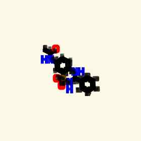 CC(=O)Nc1ccc2c(c1)S(=O)(=O)NC(c1ccccc1)N2